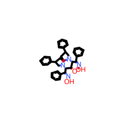 O=C(C(C(=NO)c1ccccc1)N1CCC(c2ccccc2)C1)C(C(=NO)c1ccccc1)N1CCC(c2ccccc2)C1